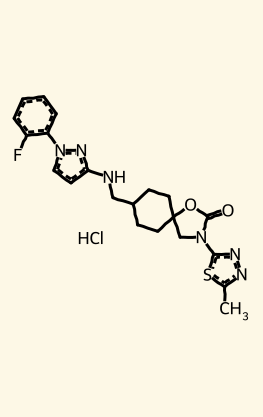 Cc1nnc(N2CC3(CCC(CNc4ccn(-c5ccccc5F)n4)CC3)OC2=O)s1.Cl